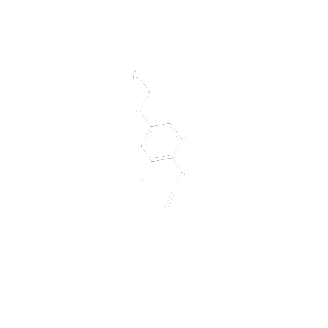 Fc1cc(CCBr)ccc1N=C=S